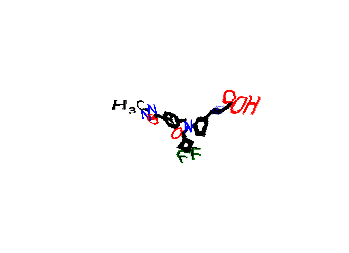 Cc1noc(C23CCC(CN(C(=O)C4CC(F)(F)C4)c4cccc(/C=C/C(=O)O)c4)(CC2)CC3)n1